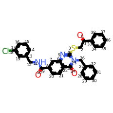 O=C(CSc1nc2cc(C(=O)NCc3cccc(Cl)c3)ccc2c(=O)n1Cc1ccccc1)c1ccccc1